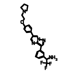 NC(c1cccc(-c2cnn3cc(-c4ccc(OCCN5CCCC5)cc4)cnc23)c1)C(F)(F)F